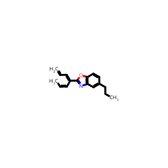 C=C/C=C(\C=C/C)c1nc2cc(CCC)ccc2o1